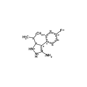 CC(C)C1NNC(N)=C1c1ccc(F)cc1